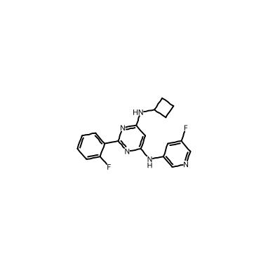 Fc1cncc(Nc2cc(NC3CCC3)nc(-c3ccccc3F)n2)c1